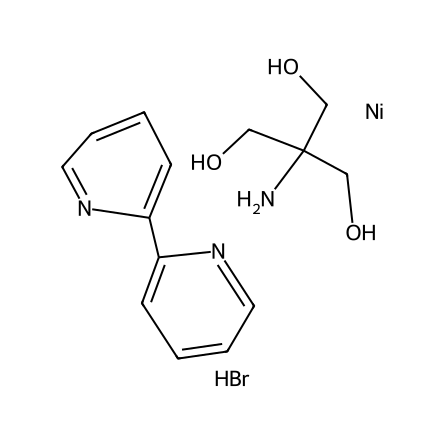 Br.NC(CO)(CO)CO.[Ni].c1ccc(-c2ccccn2)nc1